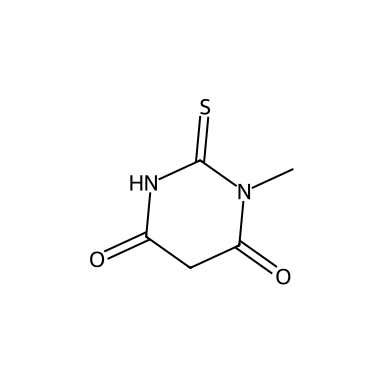 CN1C(=O)CC(=O)NC1=S